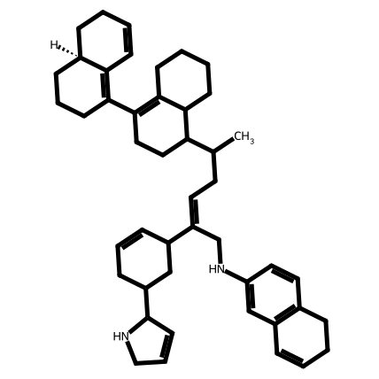 CC(C/C=C(\CNc1ccc2c(c1)C=CCC2)C1C=CCC(C2C=CCN2)C1)C1CCC(C2=C3C=CCC[C@@H]3CCC2)=C2CCCCC21